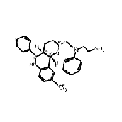 NCCN(C[C@H]1CC[C@@H]2[C@H](O1)c1cc(C(F)(F)F)ccc1N[C@H]2C1C=CC=CC1)c1ccccc1